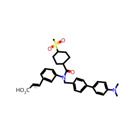 CN(C)c1ccc(-c2ccc(CN(C(=O)C3CCC(S(C)(=O)=O)CC3)c3cccc(/C=C/C(=O)O)c3)cc2)cc1